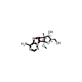 CO[C@@]1(c2cnc3c(N)ncnn23)O[C@H](CO)[C@@H](O)[C@@]1(C)C#N